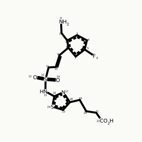 NCc1ccc(F)cc1C=CCS(=O)(=O)Nc1nc(CCCC(=O)O)cs1